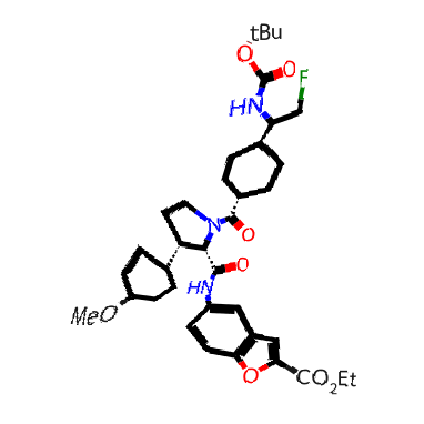 CCOC(=O)c1cc2cc(NC(=O)[C@@H]3[C@H](C4CCC(OC)CC4)CCN3C(=O)[C@H]3CC[C@H](C(CF)NC(=O)OC(C)(C)C)CC3)ccc2o1